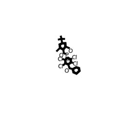 Cc1cc(C(C)(C)C)cc(C)c1C(=O)[PH](=O)c1c(Cl)c(Cl)c(C(=O)c2ccccc2)c(Cl)c1Cl